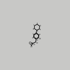 c1cc(C2CCCCC2)ccc1CC1CO1